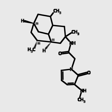 CNc1cccn(CC(=O)NC2(C)CC3C(C)C[C@@H]4CC3[C@@H](C2)[C@H](C)C4)c1=O